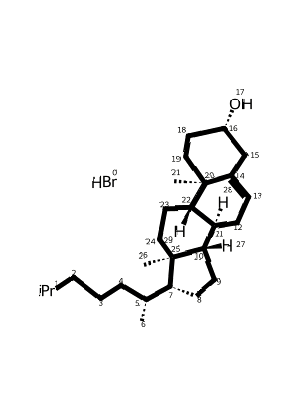 Br.CC(C)CCC[C@@H](C)[C@H]1CC[C@H]2[C@@H]3CC=C4C[C@@H](O)CC[C@]4(C)[C@H]3CC[C@]12C